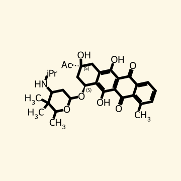 CC(=O)[C@]1(O)Cc2c(O)c3c(c(O)c2[C@@H](OC2CC(NC(C)C)C(C)(C)C(C)O2)C1)C(=O)c1c(C)cccc1C3=O